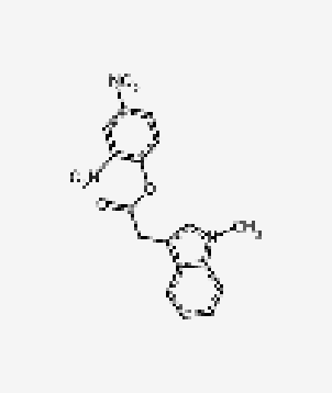 Cn1cc(CC(=O)Oc2ccc([N+](=O)[O-])cc2[N+](=O)[O-])c2ccccc21